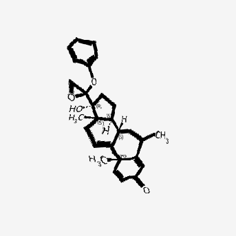 CC1C[C@@H]2C(=CC[C@@]3(C)[C@H]2CC[C@]3(O)C2(Oc3ccccc3)CO2)[C@@]2(C)C=CC(=O)C=C12